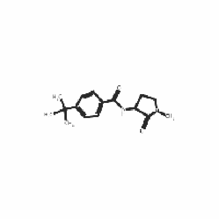 CN1CCC(NC(=O)c2ccc(C(C)(C)C)cc2)C1=O